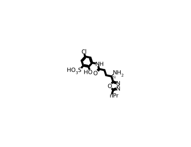 CCCc1nnc([C@@H](N)CCC(=O)Nc2cc(Cl)cc(S(=O)(=O)O)c2O)o1